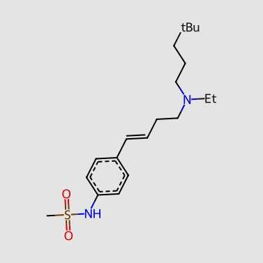 CCN(CC/C=C/c1ccc(NS(C)(=O)=O)cc1)CCCC(C)(C)C